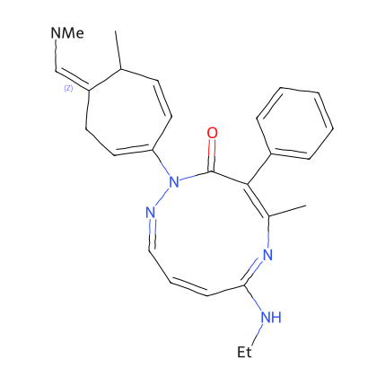 CCNc1cccnn(C2=CC/C(=C/NC)C(C)C=C2)c(=O)c(-c2ccccc2)c(C)n1